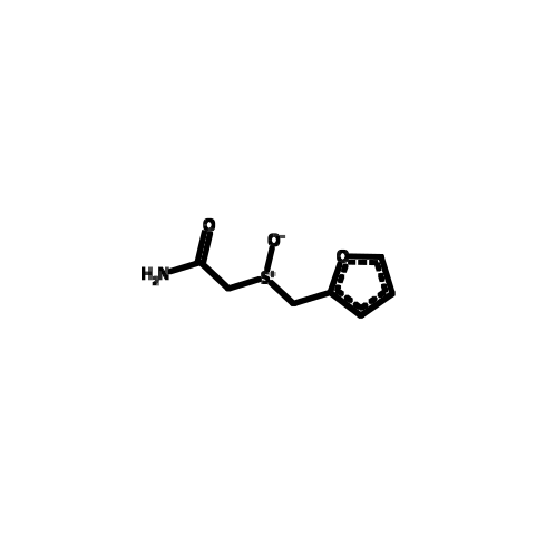 NC(=O)C[S+]([O-])Cc1ccco1